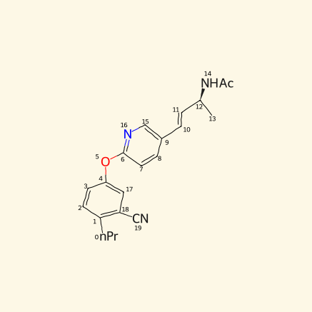 CCCc1ccc(Oc2ccc(/C=C/[C@H](C)NC(C)=O)cn2)cc1C#N